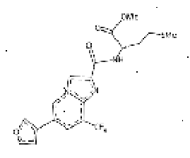 COC(=O)C(CCSC)NC(=O)c1cn2cc(-c3ccoc3)cc(C(F)(F)F)c2n1